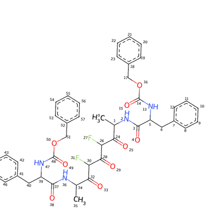 CC(NC(=O)C(Cc1ccccc1)NC(=O)OCc1ccccc1)C(=O)C(F)C(=O)C(F)C(=O)C(C)NC(=O)C(Cc1ccccc1)NC(=O)OCc1ccccc1